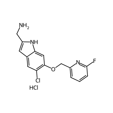 Cl.NCc1cc2cc(Cl)c(OCc3cccc(F)n3)cc2[nH]1